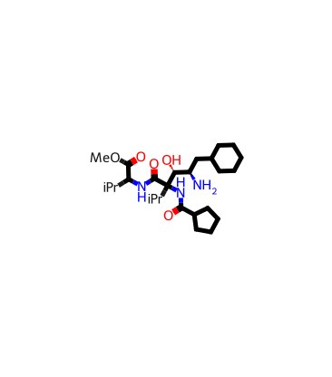 COC(=O)C(NC(=O)C(NC(=O)C1CCCC1)(C(C)C)[C@H](O)[C@H](N)CC1CCCCC1)C(C)C